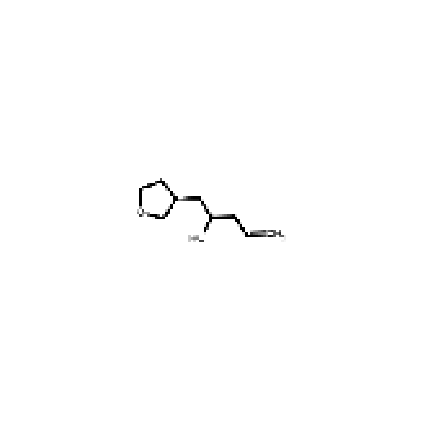 C=CCC(O)C[C@@H]1CCOC1